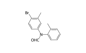 Cc1cc(N(C=O)c2ccccc2C)ccc1Br